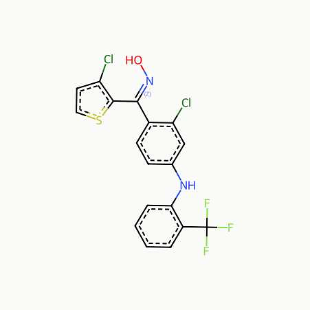 O/N=C(/c1ccc(Nc2ccccc2C(F)(F)F)cc1Cl)c1sccc1Cl